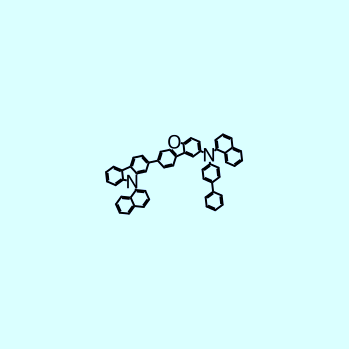 c1ccc(-c2ccc(N(c3ccc4oc5cc(-c6ccc7c8ccccc8n(-c8cccc9ccccc89)c7c6)ccc5c4c3)c3cccc4ccccc34)cc2)cc1